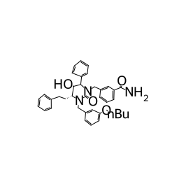 CCCCOc1cccc(CN2C(=O)N(Cc3cccc(C(N)=O)c3)C(c3ccccc3)[C@H](O)[C@H]2CCc2ccccc2)c1